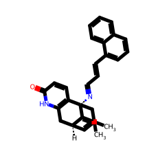 C/C=C1\[C@H]2C=C(C)C[C@]1(N=CC=Cc1cccc3ccccc13)c1ccc(=O)[nH]c1C2